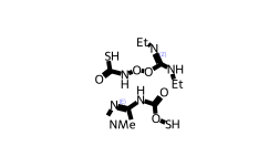 C/N=C(\NC)NC(=O)OS.CC/N=C(/NCC)OONC(=O)S